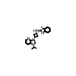 CC(C)N1SN([C@H]2C[C@H](Nc3nc4ccccc4s3)C2)c2ncccc21